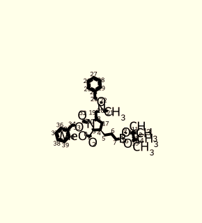 COC(=O)[C@@H]1[C@H](CCCB2OC(C)(C)C(C)(C)O2)CC(CN(C)OCc2ccccc2)N1C(=O)OCc1ccccc1